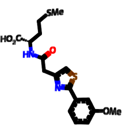 COc1cccc(-c2nc(CC(=O)N[C@@H](CCSC)C(=O)O)cs2)c1